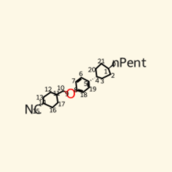 CCCCC[C@H]1CC[C@H](c2ccc(OCC3CCC(C#N)CC3)cc2)CC1